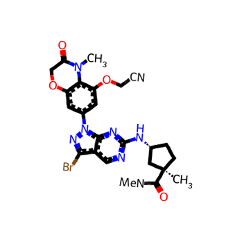 CNC(=O)[C@]1(C)CC[C@@H](Nc2ncc3c(Br)nn(-c4cc(OCC#N)c5c(c4)OCC(=O)N5C)c3n2)C1